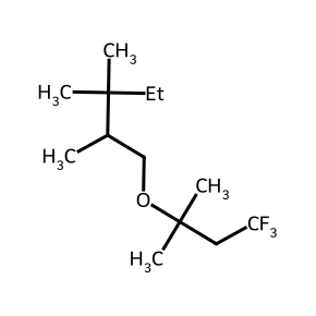 CCC(C)(C)C(C)COC(C)(C)CC(F)(F)F